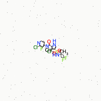 CN(C(=O)c1[nH]cc(S(=O)(=O)NC2(C)CC(F)(F)C2)c1Cl)c1ccnc(Cl)c1F